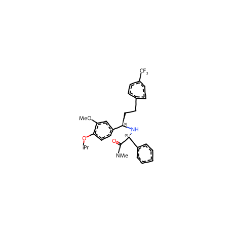 CNC(=O)[C@H](N[C@H](CCc1ccc(C(F)(F)F)cc1)c1ccc(OC(C)C)c(OC)c1)c1ccccc1